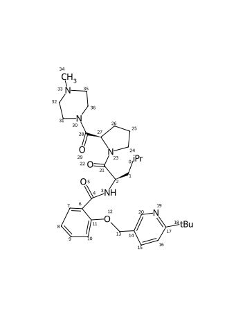 CC(C)C[C@@H](NC(=O)c1ccccc1OCc1ccc(C(C)(C)C)nc1)C(=O)N1CCC[C@@H]1C(=O)N1CCN(C)CC1